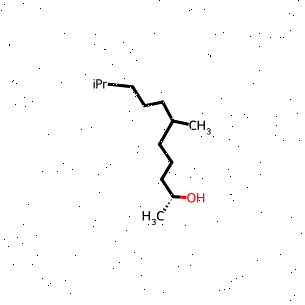 CC(C)CCCC(C)CCC[C@@H](C)O